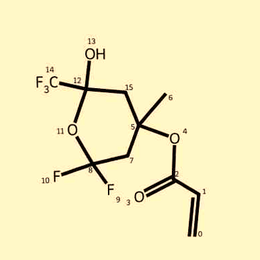 C=CC(=O)OC1(C)CC(F)(F)OC(O)(C(F)(F)F)C1